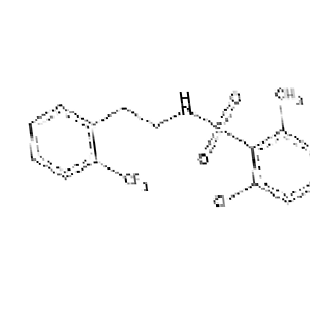 Cc1cccc(Cl)c1S(=O)(=O)NCCc1ccccc1C(F)(F)F